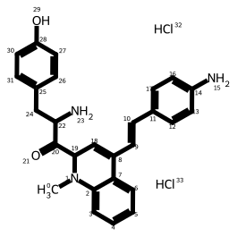 CN1c2ccccc2C(C=Cc2ccc(N)cc2)=CC1C(=O)C(N)Cc1ccc(O)cc1.Cl.Cl